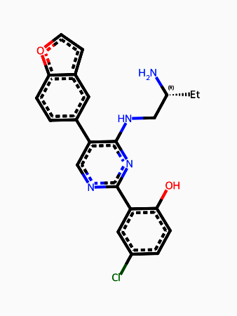 CC[C@@H](N)CNc1nc(-c2cc(Cl)ccc2O)ncc1-c1ccc2occc2c1